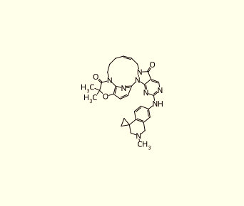 CN1Cc2cc(Nc3ncc4c(=O)n5n(c4n3)-c3ccc4c(n3)N(CCC/C=C\C5)C(=O)C(C)(C)O4)ccc2C2(CC2)C1